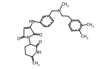 C=C1CCC(N2C(=O)C=C(Nc3cccc(CN(C)CCc4ccc(C)c(C)c4)c3)C2=O)C(=O)N1